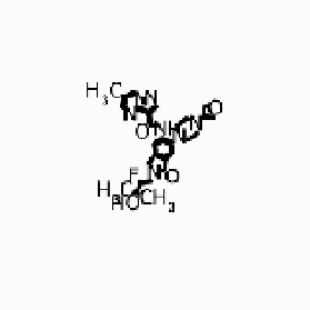 Cc1cnc2c(C(=O)Nc3cc4c(cc3N3CCN(C5COC5)CC3)C(=O)N(CC(F)C(C)(C)O)C4)cnn2c1